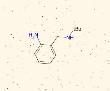 CC(C)(C)NCc1ccccc1N